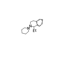 CCC1c2ccccc2CCN1N1CCCCC1